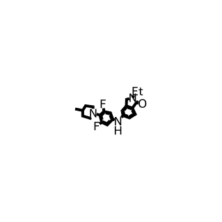 CCN1Cc2cc(Nc3cc(F)c(N4CCC(C)CC4)c(F)c3)ccc2C1=O